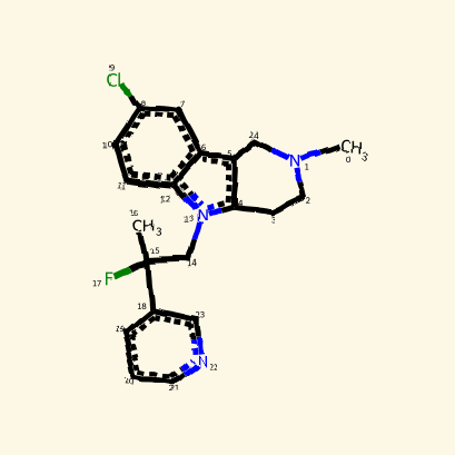 CN1CCc2c(c3cc(Cl)ccc3n2CC(C)(F)c2cccnc2)C1